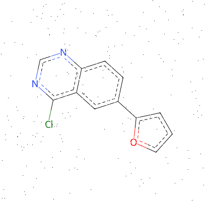 Clc1ncnc2ccc(-c3ccco3)cc12